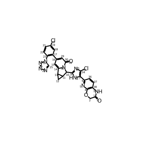 O=C1COc2nc(-c3[nH]c(C4C5CC5c5cc(-c6cc(Cl)ccc6-n6cnnn6)cc(=O)n54)nc3Cl)ccc2N1